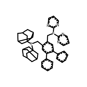 c1ccc(-c2cc(CP(c3ncccn3)c3ncccn3)c(CP(C34CC5CC(CC(C5)C3)C4)C34CC5CC(CC(C5)C3)C4)cc2-c2ccccc2)cc1